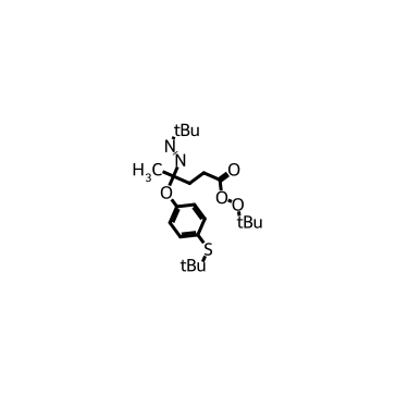 CC(C)(C)/N=N/C(C)(CCC(=O)OOC(C)(C)C)Oc1ccc(SC(C)(C)C)cc1